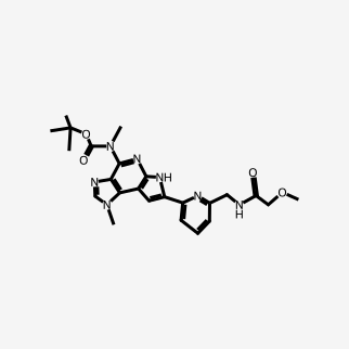 COCC(=O)NCc1cccc(-c2cc3c(nc(N(C)C(=O)OC(C)(C)C)c4ncn(C)c43)[nH]2)n1